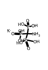 NC(P(=O)(O)O)(P(=O)(O)O)P(=O)(O)O.[K]